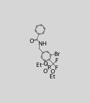 CCOP(=O)(OCC)C(F)(F)c1ccc(CNC(=O)c2ccccc2)cc1Br